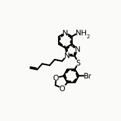 C=CCCCCn1c(Sc2cc3c(cc2Br)OCO3)nc2c(N)nccc21